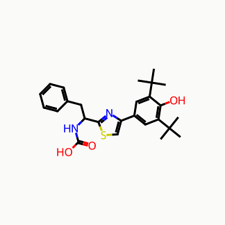 CC(C)(C)c1cc(-c2csc(C(Cc3ccccc3)NC(=O)O)n2)cc(C(C)(C)C)c1O